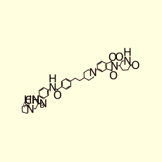 C[C@H]1CCCN1Cc1nc2cc(NC(=O)c3ccc(CCC4CCN(c5ccc6c(c5)C(=O)N(C5CCC(=O)NC5=O)C6=O)CC4)cc3)ccc2[nH]1